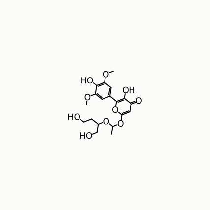 COc1cc(-c2oc(OC(C)OC(CO)CCO)cc(=O)c2O)cc(OC)c1O